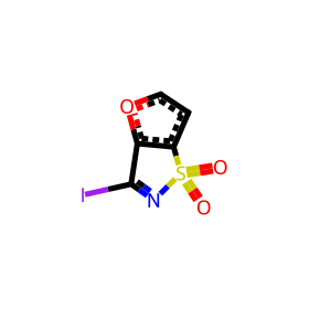 O=S1(=O)N=C(I)c2occc21